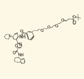 CC(C)(C)OC(=O)CCOCCOCCOCCOCCCc1cccc(C(=O)Nc2ccc(N3CCCCC3)cc2-c2ncc(C(=O)N[C@H]3CCCc4ccccc43)o2)c1